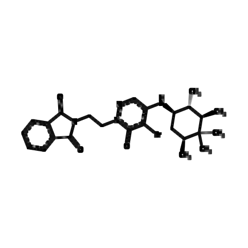 C[C@@H]1[C@@H](C)C(C)(C)[C@@H](C)C[C@H]1Nc1cnn(CCN2C(=O)c3ccccc3C2=O)c(=O)c1Br